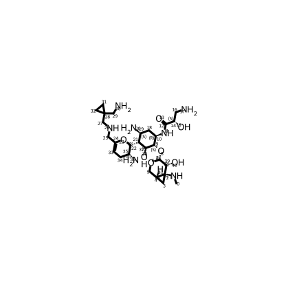 CN[C@@]12C[C@@H]1CO[C@H](O[C@H]1[C@H](NC(=O)[C@@H](O)CN)C[C@H](N)C([C@H]3OC(CNCC4(CN)CC4)=CC[C@H]3N)[C@@H]1O)[C@@H]2O